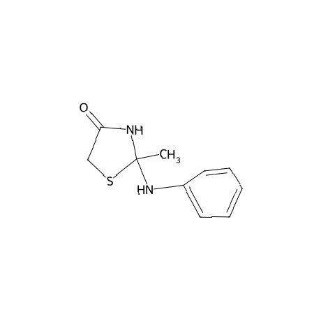 CC1(Nc2ccccc2)NC(=O)CS1